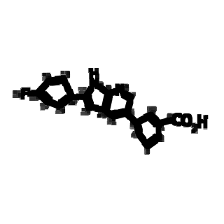 O=C(O)c1cccc(-c2cnc3[nH]c(-c4ccc(F)cc4)cc3c2)c1